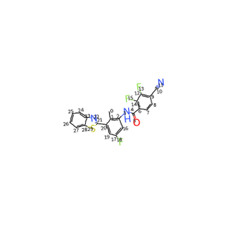 Cc1c(NC(=O)c2ccc(C#N)c(F)c2F)cc(F)cc1-c1nc2ccccc2s1